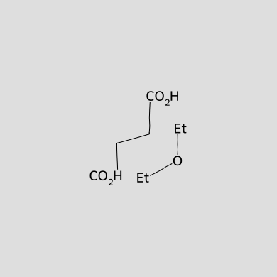 CCOCC.O=C(O)CCC(=O)O